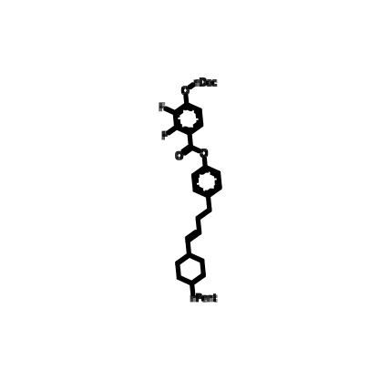 CCCCCCCCCCOc1ccc(C(=O)Oc2ccc(CCC=CC3CCC(CCCCC)CC3)cc2)c(F)c1F